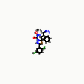 CONC(=O)N1N=C(c2cc(F)ccc2F)SC1(CCCN)c1ccccc1